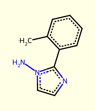 [CH2]c1ccccc1-c1nccn1N